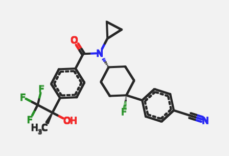 C[C@](O)(c1ccc(C(=O)N(C2CC2)[C@H]2CC[C@](F)(c3ccc(C#N)cc3)CC2)cc1)C(F)(F)F